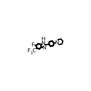 Fc1cc2[nH]c(-c3ccc(N4CCCCC4)cc3)nc2cc1C(F)(F)F